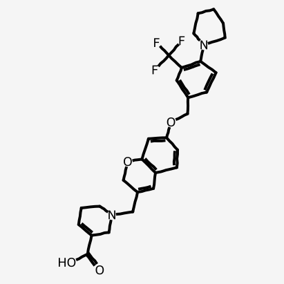 O=C(O)C1=CCCN(CC2=Cc3ccc(OCc4ccc(N5CCCCC5)c(C(F)(F)F)c4)cc3OC2)C1